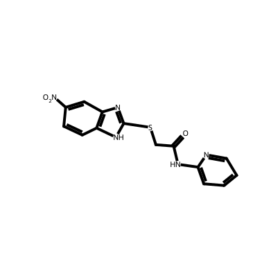 O=C(CSc1nc2cc([N+](=O)[O-])ccc2[nH]1)Nc1ccccn1